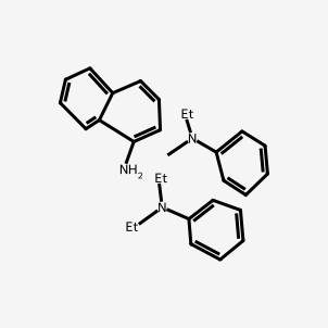 CCN(C)c1ccccc1.CCN(CC)c1ccccc1.Nc1cccc2ccccc12